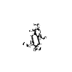 CCn1nc(C(C)C)c(=O)c2cc(O)c(O)cc21